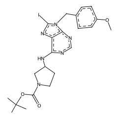 COc1ccc(Cn2c(I)nc3c(NC4CCN(C(=O)OC(C)(C)C)C4)ncnc32)cc1